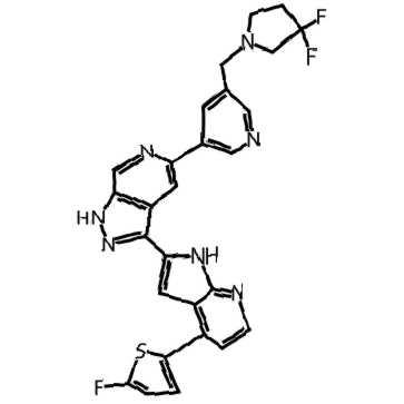 Fc1ccc(-c2ccnc3[nH]c(-c4n[nH]c5cnc(-c6cncc(CN7CCC(F)(F)C7)c6)cc45)cc23)s1